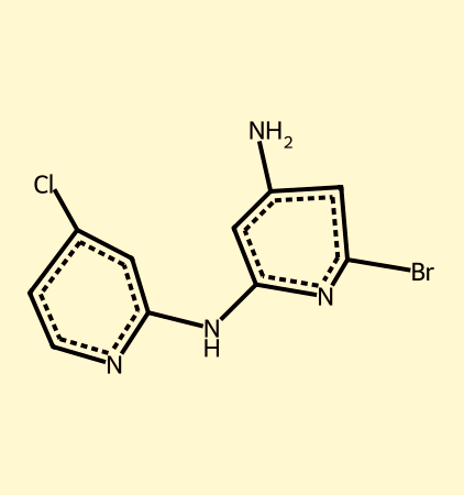 Nc1cc(Br)nc(Nc2cc(Cl)ccn2)c1